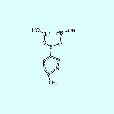 Cc1ccc(B(OBO)OBO)cn1